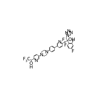 OC(c1ccc(N2CCN(c3ccc(-c4ccc(C(F)(F)C(O)(Cn5cnnn5)c5ccc(F)cc5F)nc4)cc3)CC2)cn1)C(F)(F)F